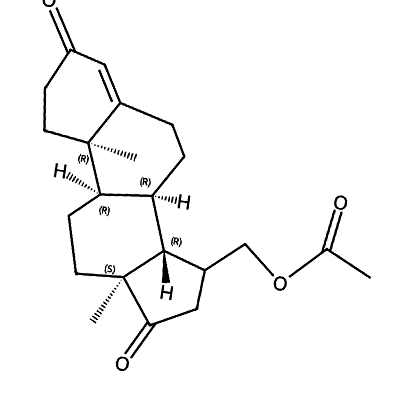 CC(=O)OCC1CC(=O)[C@@]2(C)CC[C@@H]3[C@@H](CCC4=CC(=O)CC[C@@]43C)[C@H]12